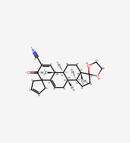 C[C@]12C=C(C#N)C(=O)C3(CC=CC3)C1=CC[C@@H]1[C@@H]2CC[C@@]2(C)[C@H]1CCC21OCCO1